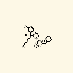 CNC[C@H](CC1CCCCC1)NC(=O)N1CCO[C@H]([C@](O)(CCCCOC)c2cccc(Cl)c2)C1